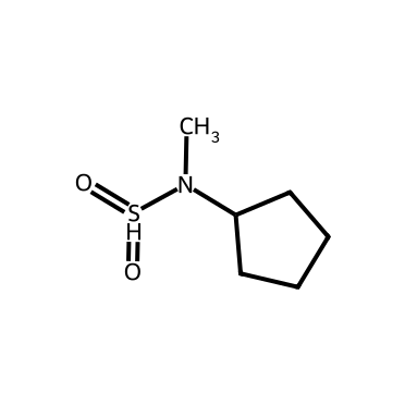 CN(C1CCCC1)[SH](=O)=O